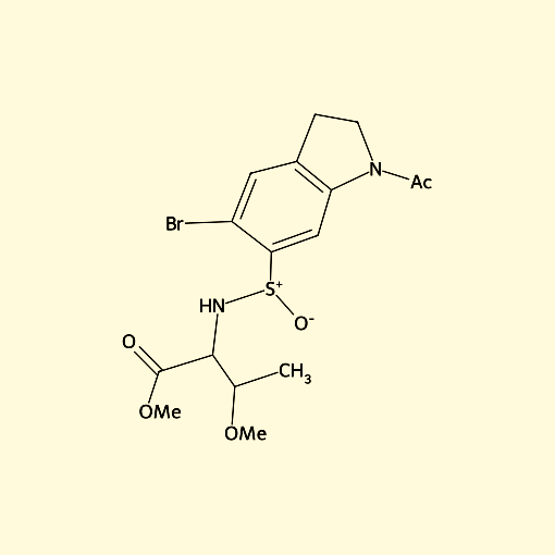 COC(=O)C(N[S+]([O-])c1cc2c(cc1Br)CCN2C(C)=O)C(C)OC